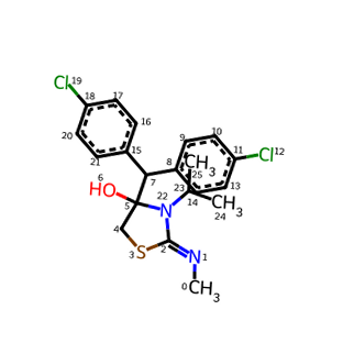 CN=C1SCC(O)(C(c2ccc(Cl)cc2)c2ccc(Cl)cc2)N1C(C)C